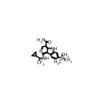 C[Si](C)(C)c1ccc2c(c1)[nH]c1c(C(N)=O)cnc(NC(C3CC3)C(F)(F)F)c12